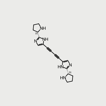 C(C#Cc1cnc([C@@H]2CCCN2)[nH]1)#Cc1cnc([C@@H]2CCCN2)[nH]1